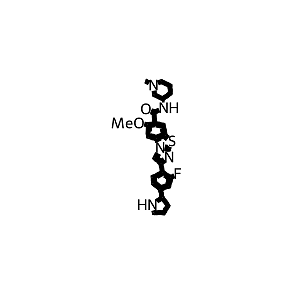 COc1cc2c(cc1C(=O)N[C@@H]1CCCN(C)C1)sc1nc(-c3ccc(C4CCCN4)cc3F)cn12